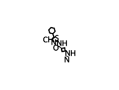 N#CN[C@H]1C[C@@H](C(=O)Nc2nc(Cl)c(C3CCCCC3)s2)C1